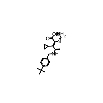 C=C(NCc1ccc(C(C)(C)C)cc1)/C(=C(\N=C/N)C(=O)O)C1CC1